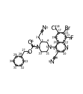 N#CC[C@H]1CN(c2c(C#N)cnc3c(F)c(Br)c(Cl)cc23)CCN1C(=O)OCc1ccccc1